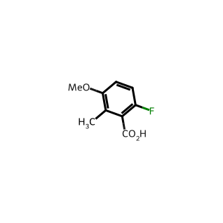 COc1ccc(F)c(C(=O)O)c1C